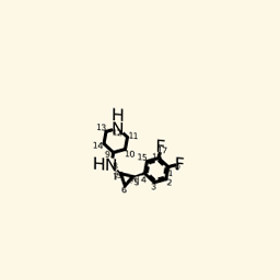 Fc1ccc([C@H]2C[C@@H]2NC2CCNCC2)cc1F